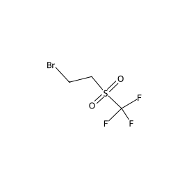 O=S(=O)(CCBr)C(F)(F)F